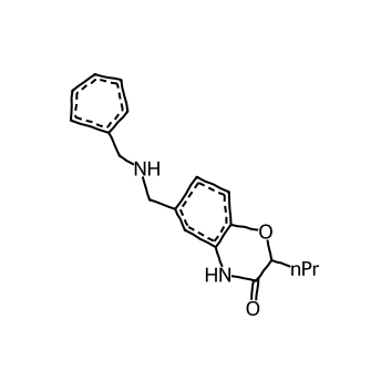 CCCC1Oc2ccc(CNCc3ccccc3)cc2NC1=O